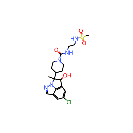 CC1(C2CCN(C(=O)NCCNS(C)(=O)=O)CC2)C(O)c2cc(Cl)cc3cnn1c23